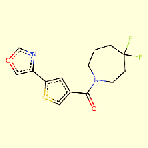 O=C(c1csc(-c2cocn2)c1)N1CCCC(F)(F)CC1